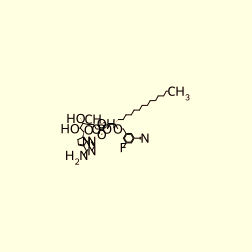 CCCCCCCCCCCCCC[C@@H](COP(=O)(O)OC[C@@]1(C)O[C@@H](C2CC=C3C(N)=NC=NN32)[C@H](O)[C@@H]1O)OCc1cc(F)cc(C#N)c1